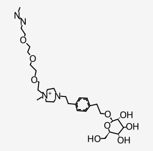 C/N=N/CCOCCOCCOCC[N+]1(C)CCN(CCc2ccc(CCO[C@@H]3O[C@H](CO)[C@@H](O)[C@H](O)[C@H]3O)cc2)CC1